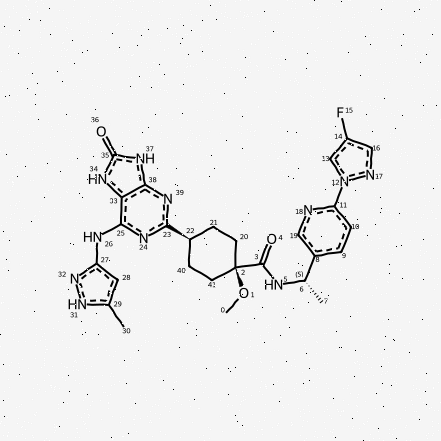 CO[C@]1(C(=O)N[C@@H](C)c2ccc(-n3cc(F)cn3)nc2)CC[C@H](c2nc(Nc3cc(C)[nH]n3)c3[nH]c(=O)[nH]c3n2)CC1